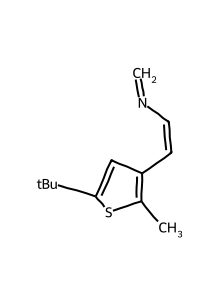 C=N/C=C\c1cc(C(C)(C)C)sc1C